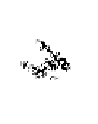 CC(C)CC(=O)OCCOC(=O)C1=C(/C=C\c2cccnc2)CS[C@H]2[C@H](NC(=O)C(=NO)c3csc(N)n3)C(=O)N12.Cl.Cl